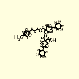 CC12COC(CCCOCC3(COCC4(CO)COC(c5ccccc5)OC4)COC(c4ccccc4)OC3)(OC1)OC2